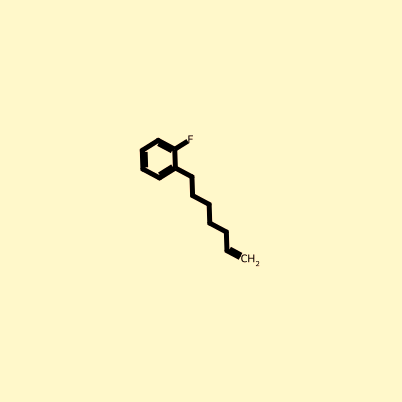 C=CCCCCCc1ccccc1F